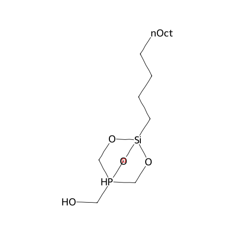 CCCCCCCCCCCC[Si]12OC[PH](CO)(CO1)CO2